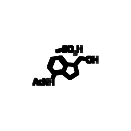 CC(=O)Nc1cccc2c1CCC2CO.CS(=O)(=O)O